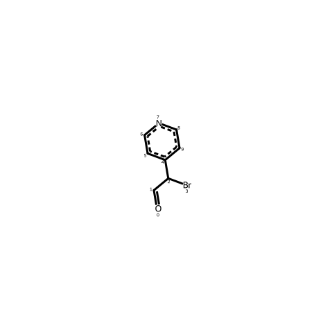 O=CC(Br)c1ccncc1